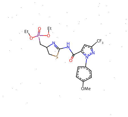 CCOP(=O)(CC1CSC(NC(=O)c2cc(C(F)(F)F)nn2-c2ccc(OC)cc2)=N1)OCC